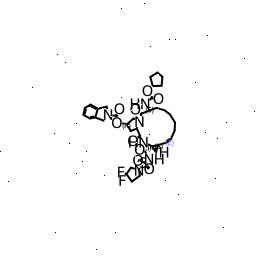 O=C(N[C@H]1CCCCC/C=C\[C@@H]2C[C@@]2(C(=O)NS(=O)(=O)N2CCC(F)(F)C2)NC(=O)C2C[C@@H](OC(=O)N3Cc4ccccc4C3)CN2C1=O)OC1CCCC1